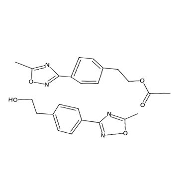 CC(=O)OCCc1ccc(-c2noc(C)n2)cc1.Cc1nc(-c2ccc(CCO)cc2)no1